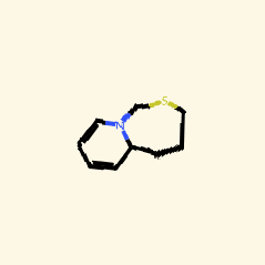 [C]1CCSCN2C=CC=CC12